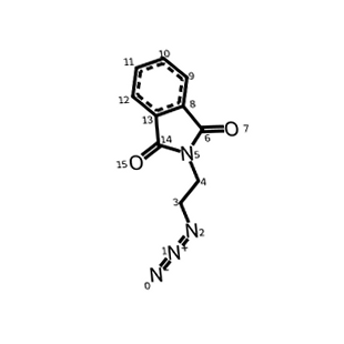 [N-]=[N+]=NCCN1C(=O)c2ccccc2C1=O